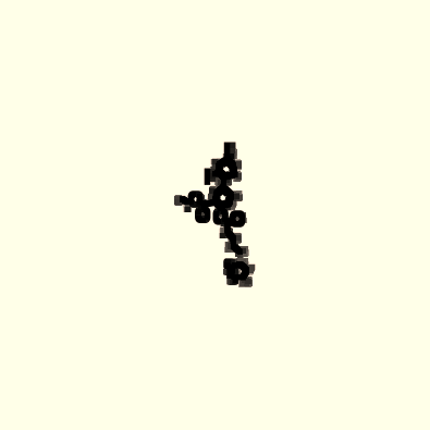 CCOC(=O)c1cc(-c2ccc(F)cc2F)ccc1OC(=O)CCCC[C@@H]1CCSS1